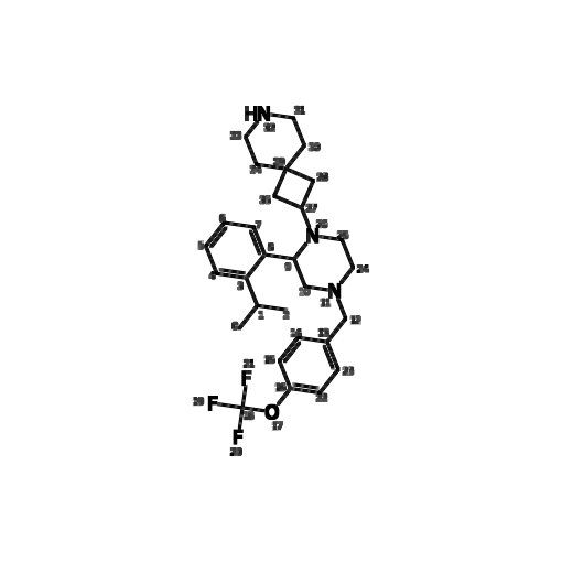 CC(C)c1ccccc1C1CN(Cc2ccc(OC(F)(F)F)cc2)CCN1C1CC2(CCNCC2)C1